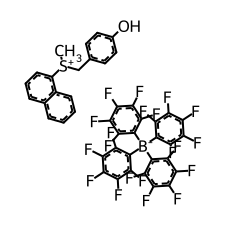 C[S+](Cc1ccc(O)cc1)c1cccc2ccccc12.Fc1c(F)c(F)c([B-](c2c(F)c(F)c(F)c(F)c2F)(c2c(F)c(F)c(F)c(F)c2F)c2c(F)c(F)c(F)c(F)c2F)c(F)c1F